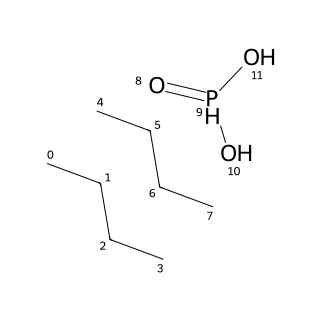 CCCC.CCCC.O=[PH](O)O